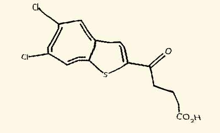 O=C(O)CCC(=O)c1cc2cc(Cl)c(Cl)cc2s1